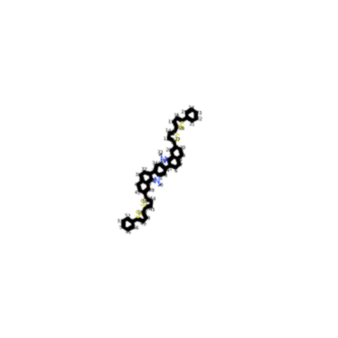 Cn1c2cc3c4ccc5ccc(-c6ccc(-c7ccc(-c8ccccc8)s7)s6)cc5c4n(C)c3cc2c2ccc3ccc(-c4ccc(-c5ccc(-c6ccccc6)s5)s4)cc3c21